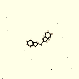 C1=C(SC2=Cc3ccccc3C2)Cc2ccccc21